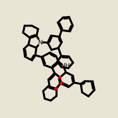 C1=CCCC(C2=CC(Nc3ccc(C4=CC=CC5C6=C(CCCC6)N(C6=CC(c7ccccc7)=CC(C7=CCCC=C7)C6)C45)cc3C3=CCCC=C3)CC(C3=CCCCC3)=C2)=C1